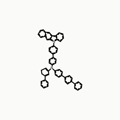 C1=C(c2ccccc2)CCC=C1N(c1ccc(-c2ccc(-c3ccccc3)cc2)cc1)c1ccc(-c2ccc(-n3c4ccccc4c4cc5ccccc5cc43)cc2)cc1